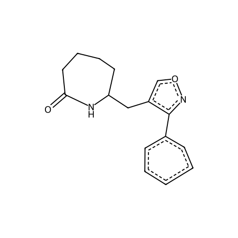 O=C1CCCCC(Cc2conc2-c2ccccc2)N1